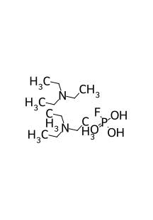 CCN(CC)CC.CCN(CC)CC.O=P(O)(O)F